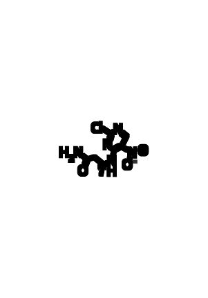 C[C@@H](CC(N)=O)Nc1nc(Cl)ncc1[N+](=O)[O-]